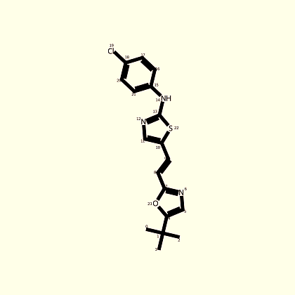 CC(C)(C)c1cnc(C=Cc2cnc(Nc3ccc(Cl)cc3)s2)o1